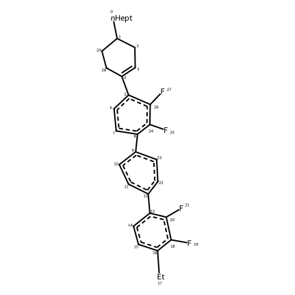 CCCCCCCC1CC=C(c2ccc(-c3ccc(-c4ccc(CC)c(F)c4F)cc3)c(F)c2F)CC1